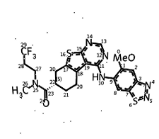 COc1cc2nnsc2cc1Nc1ncnc2sc3c(c12)CC[C@H](C(=O)N(C)CCC(F)(F)F)C3